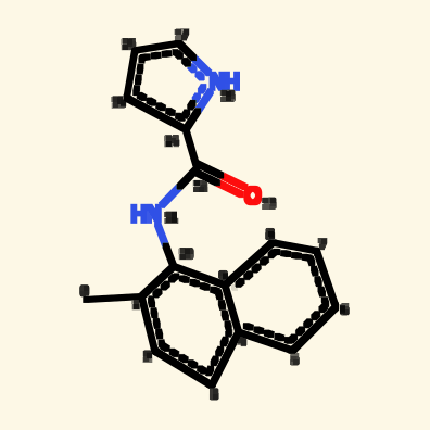 Cc1ccc2ccccc2c1NC(=O)c1ccc[nH]1